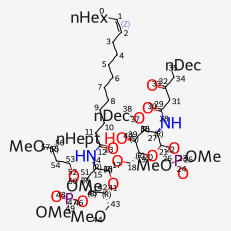 CCCCCC/C=C\CCCCCCCCCC(=O)N[C@H]1[C@H](OC[C@H]2OC(OP(=O)(OC)OC)[C@H](NC(=O)CC(=O)CCCCCCCCCCC)[C@@H](OCCCCCCCCCC)[C@@H]2O)O[C@H](COC)[C@@H](OP(=O)(OC)OC)[C@@H]1OCC[C@@H](CCCCCCC)OC